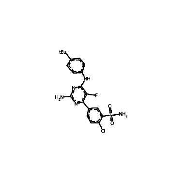 CC(C)(C)c1ccc(Nc2nc(N)nc(-c3ccc(Cl)c(S(N)(=O)=O)c3)c2F)cc1